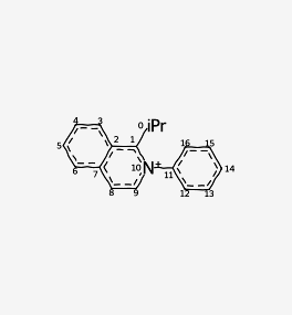 CC(C)c1c2ccccc2cc[n+]1-c1ccccc1